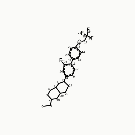 CCC1CCC2CC(c3ccc(-c4ccc(OCC(F)(F)F)cc4)c(F)c3)CCC2C1